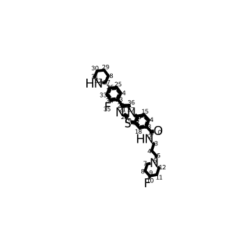 O=C(NCCCN1CCC(F)CC1)c1ccc2c(c1)sc1nc(-c3ccc([C@H]4CCCCN4)cc3F)cn12